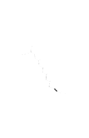 [CH2]CCCCCCCC#CCCCCCCCCCCC(CCC)CCCCC[CH2]